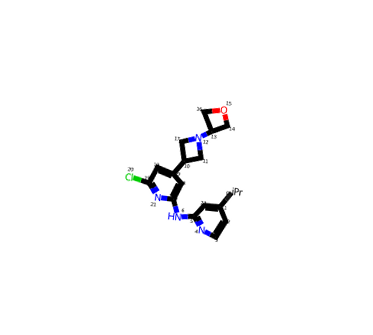 CC(C)c1ccnc(Nc2cc(C3CN(C4COC4)C3)cc(Cl)n2)c1